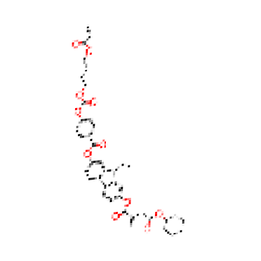 C=CC(=O)OCCCCOC(=O)Oc1ccc(C(=O)Oc2ccc3c(c2)C(CC)c2cc(OC(=O)C(=C)CC(=O)OC4CCCCC4)ccc2-3)cc1